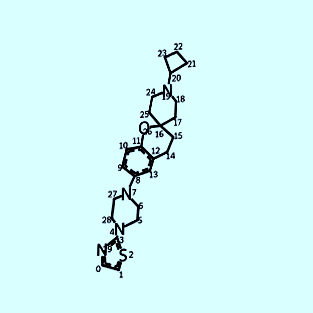 c1csc(N2CCN(c3ccc4c(c3)CCC3(CCN(C5CCC5)CC3)O4)CC2)n1